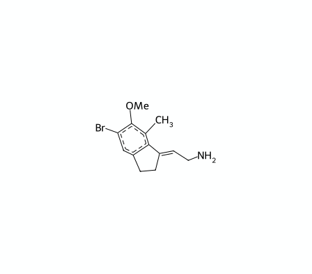 COc1c(Br)cc2c(c1C)C(=CCN)CC2